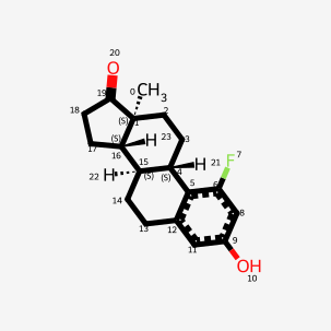 C[C@]12CC[C@@H]3c4c(F)cc(O)cc4CC[C@H]3[C@@H]1CCC2=O